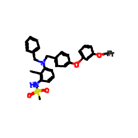 Cc1c(NS(C)(=O)=O)cccc1N(Cc1ccccc1)Cc1ccc(Oc2cccc(OC(C)C)c2)cc1